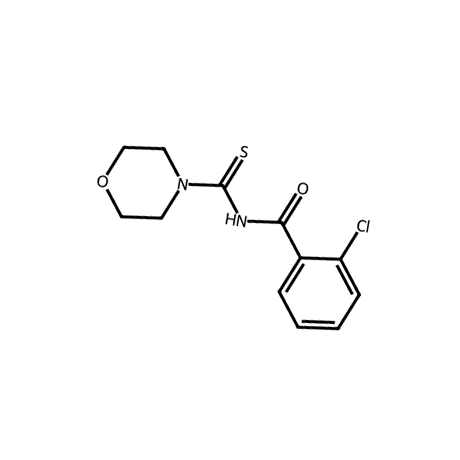 O=C(NC(=S)N1CCOCC1)c1ccccc1Cl